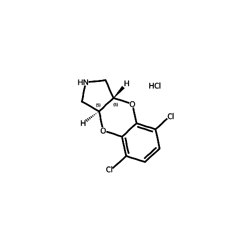 Cl.Clc1ccc(Cl)c2c1O[C@H]1CNC[C@@H]1O2